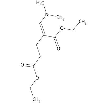 CCOC(=O)CCC(=CN(C)C)C(=O)OCC